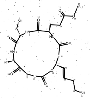 CC(C)[C@H]1NC(=O)[C@H](CS)NC(=O)[C@@H](CCC(=O)OC(C)(C)C)NC(=O)C[C@@H](/C=C/CCS)OC(=O)CNC1=O